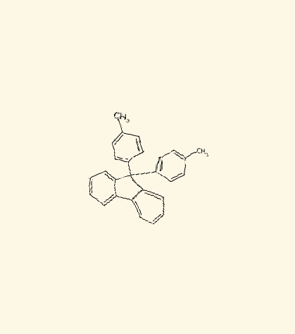 Cc1ccc(C2(c3ccc(C)cc3)c3c[c]ccc3-c3ccccc32)cc1